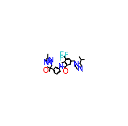 Cc1cnn(CC2(c3cccc(N4Cc5c(cc(CN6CCN(C)CC6C(C)C)cc5C(F)(F)F)C4=O)c3)COC2)n1